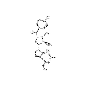 Cc1nc(=NO)c2ccn([C@@H]3O[C@H](C(O)c4ccc(Cl)cc4)[C@@H](O)[C@H]3O)c2[nH]1